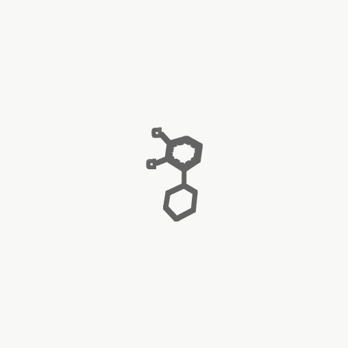 Clc1cccc(C2CCCCC2)c1Cl